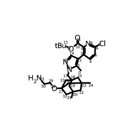 Cc1c(-c2ccc(Cl)nc2C(=O)OC(C)(C)C)cnn1CC12CC3(C)CC(C)(C1)CC(OCCN)(C3)C2